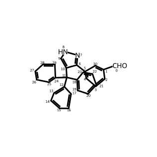 O=Cc1cccc(-c2n[nH]cc2C(c2ccccc2)(c2ccccc2)c2ccccc2)c1